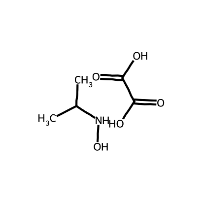 CC(C)NO.O=C(O)C(=O)O